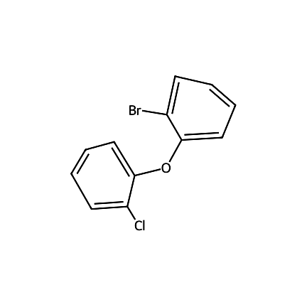 Clc1ccccc1Oc1ccccc1Br